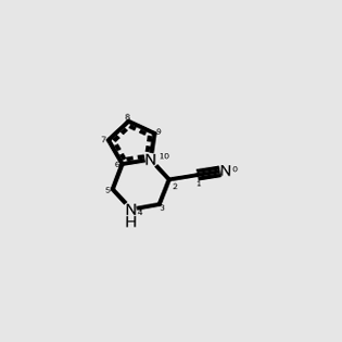 N#CC1CNCc2cccn21